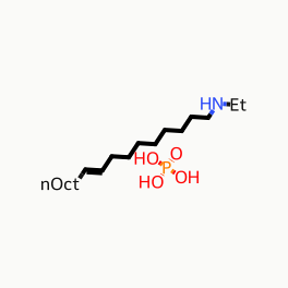 CCCCCCCCC=CCCCCCCCCNCC.O=P(O)(O)O